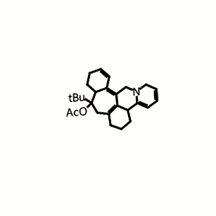 CC(=O)OC1(C(C)(C)C)CC2=C3C(=C4C=CCCC41)CN1CC=CC=C1C3CCC2